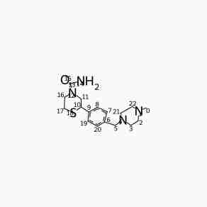 CN1CCN(Cc2ccc(C3CN(C(N)=O)CCS3)cc2)CC1